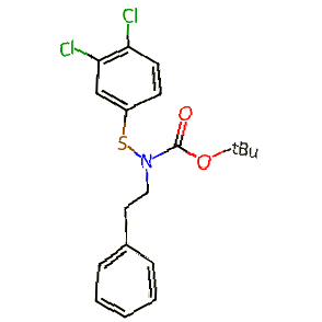 CC(C)(C)OC(=O)N(CCc1ccccc1)Sc1ccc(Cl)c(Cl)c1